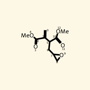 C=C(C(=O)OC)C(CC1CO1)C(=O)OC